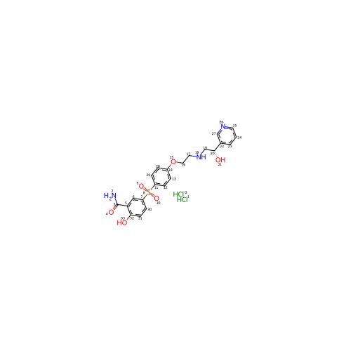 Cl.Cl.NC(=O)c1cc(S(=O)(=O)c2ccc(OCCNC[C@@H](O)c3cccnc3)cc2)ccc1O